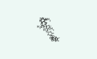 C\C=C/C(=C\C=C\[C@H]1CC[C@H](OP(=O)(O)c2cccs2)CC1)C1=Nc2c(N)ncnc2OC1(C)C